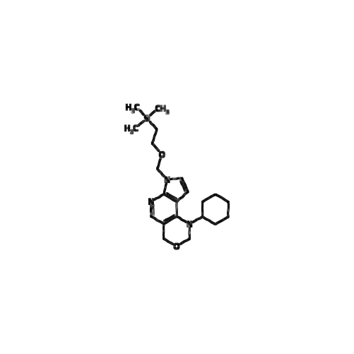 C[Si](C)(C)CCOCn1ccc2c3c(cnc21)COCN3C1CCCCC1